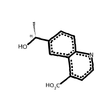 C[C@@H](O)c1ccc2nccc(C(=O)O)c2c1